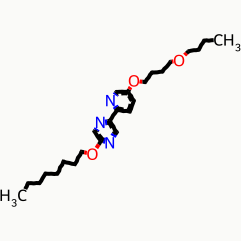 CCCCCCCCOc1cnc(-c2ccc(OCCCCOCCCC)cn2)cn1